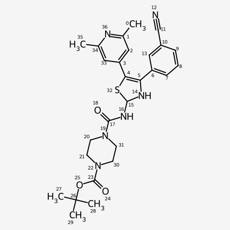 Cc1cc(C2=C(c3cccc(C#N)c3)NC(NC(=O)N3CCN(C(=O)OC(C)(C)C)CC3)S2)cc(C)n1